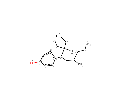 CCCC(C)CC(c1ccc(O)cc1)C(C)(CC)CC